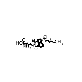 CCCCCCN(C)c1ccc2c3c(cccc13)C(=O)N(CCCCC(N)C(=O)O)C2=O